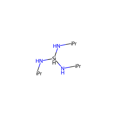 CC(C)N[SiH](NC(C)C)NC(C)C